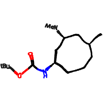 CN[C@H]1C[C@@H](C)CCC[C@@H](NC(=O)OC(C)(C)C)C1